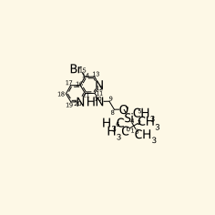 CC(C)(C)[Si](C)(C)OCCNc1ncc(Br)c2cccnc12